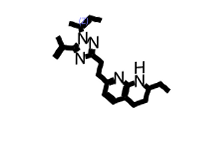 C=C(C)c1nc(CCc2ccc3c(n2)NC(CC)CC3)nn1/C(C)=C\C